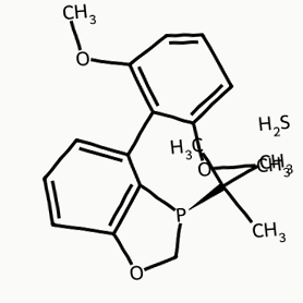 COc1cccc(OC)c1-c1cccc2c1[P@@](C(C)(C)C)CO2.S